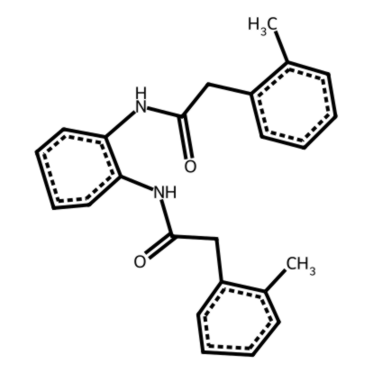 Cc1ccccc1CC(=O)Nc1ccccc1NC(=O)Cc1ccccc1C